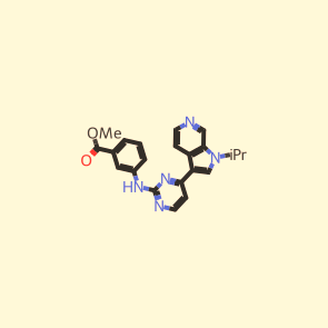 COC(=O)c1cccc(Nc2nccc(-c3cn(C(C)C)c4cnccc34)n2)c1